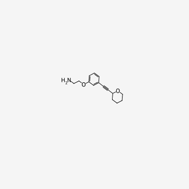 NCCOc1cccc(C#CC2CCCCO2)c1